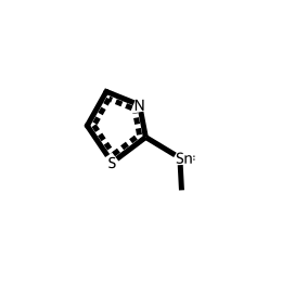 [CH3][Sn][c]1nccs1